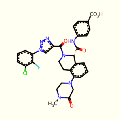 CN1CCN(c2cccc3c2CCN(C(=O)c2cn(-c4cccc(Cl)c4F)nn2)[C@@H]3C(=O)Nc2ccc(C(=O)O)cc2)CC1=O